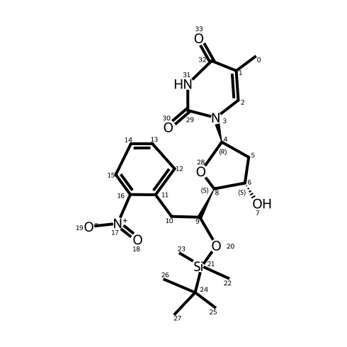 Cc1cn([C@H]2C[C@H](O)[C@@H](C(Cc3ccccc3[N+](=O)[O-])O[Si](C)(C)C(C)(C)C)O2)c(=O)[nH]c1=O